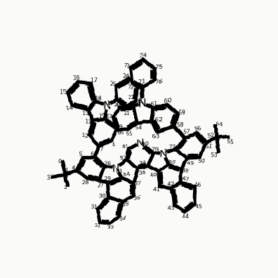 CC(C)(C)c1cc(-c2ccc3c(c2)c2ccccc2n3-c2ccccc2)c2c(c1)c1c3ccccc3cc3c4c5c6cc7ccccc7c7c8cc(C(C)(C)C)cc(-c9ccc%10c(c9)c9ccccc9n%10-c9ccccc9)c8n(c5ncc4n2c31)c67